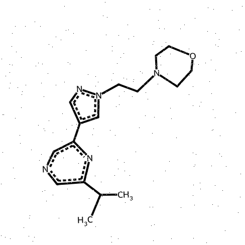 CC(C)c1cncc(-c2cnn(CCN3CCOCC3)c2)n1